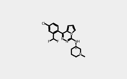 CN1CCC[C@@H](Nc2nnc(-c3ccc(Cl)cc3C(F)F)c3cccn23)C1